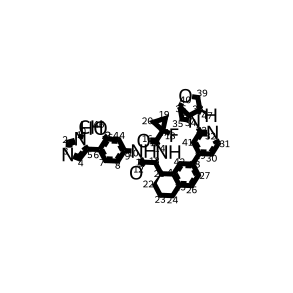 Cn1cncc1-c1ccc(NC(=O)[C@@H](NC(=O)C2(F)CC2)[C@@H]2CCCc3ccc(-c4ccnc(N5CC6C[C@@H]5CO6)c4)cc32)cc1O